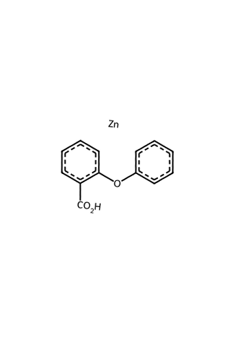 O=C(O)c1ccccc1Oc1ccccc1.[Zn]